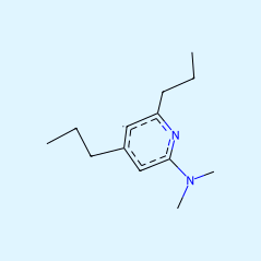 CCCc1[c]c(CCC)nc(N(C)C)c1